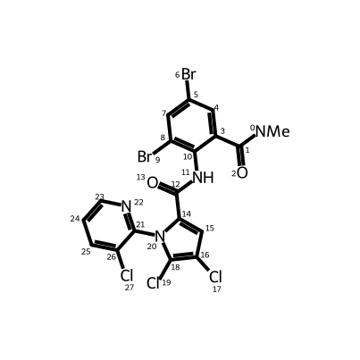 CNC(=O)c1cc(Br)cc(Br)c1NC(=O)c1cc(Cl)c(Cl)n1-c1ncccc1Cl